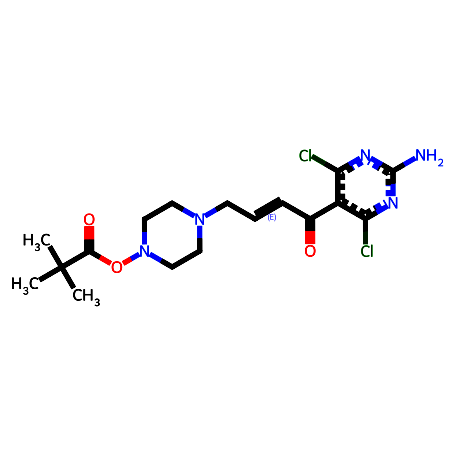 CC(C)(C)C(=O)ON1CCN(C/C=C/C(=O)c2c(Cl)nc(N)nc2Cl)CC1